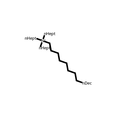 CCCCCCCCCCCCCCCCCC[N+](CCCCCCC)(CCCCCCC)CCCCCCC